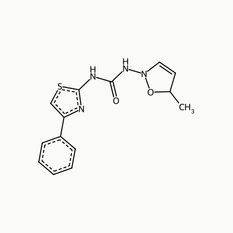 CC1C=CN(NC(=O)Nc2nc(-c3ccccc3)cs2)O1